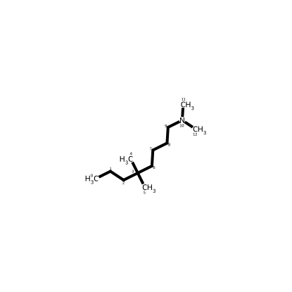 CCCC(C)(C)CCCCN(C)C